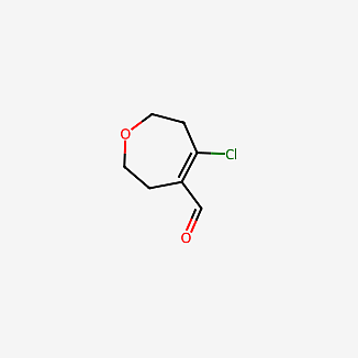 O=CC1=C(Cl)CCOCC1